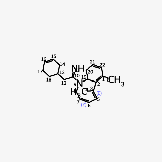 CC1=C2/C(C)=C/C=C\CN(C(=N)CC3CC=CCC3)C2CC=C1